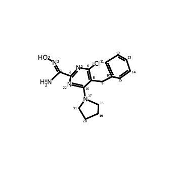 N/C(=N\O)c1nc(Cl)c(Cc2ccccc2)c(N2CCCC2)n1